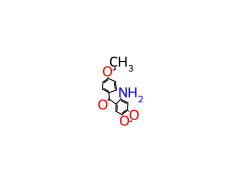 CCOc1ccc(C(=O)c2cc3c(cc2N)OCO3)cc1